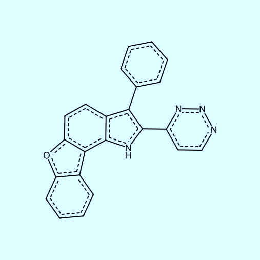 c1ccc(-c2c(-c3ccnnn3)[nH]c3c2ccc2oc4ccccc4c23)cc1